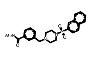 CNC(=O)c1cccc(CN2CCN(S(=O)(=O)c3ccc4ccccc4c3)CC2)c1